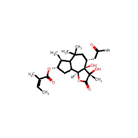 C/C=C(/C)C(=O)O[C@H]1CC2C([C@@H]1C)C(C)(C)C[C@H](CC(=O)CCC)[C@@]1(O)[C@H]2OC(=O)[C@@]1(C)O